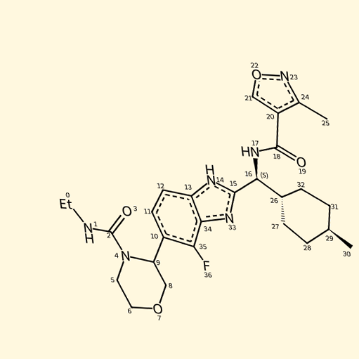 CCNC(=O)N1CCOCC1c1ccc2[nH]c([C@@H](NC(=O)c3conc3C)[C@H]3CC[C@H](C)CC3)nc2c1F